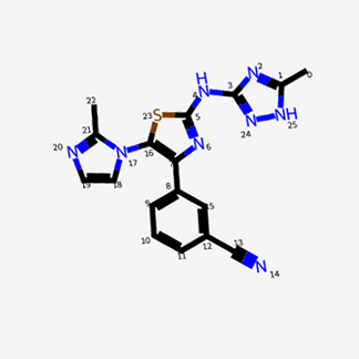 Cc1nc(Nc2nc(-c3cccc(C#N)c3)c(-n3ccnc3C)s2)n[nH]1